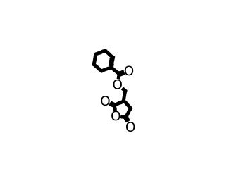 O=C1CC(COC(=O)C2=CCCCC2)C(=O)O1